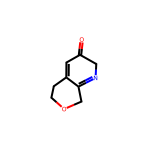 O=C1C=C2CCOCC2=NC1